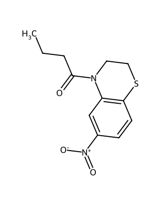 CCCC(=O)N1CCSc2ccc([N+](=O)[O-])cc21